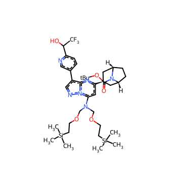 CC(C)(C)OC(=O)N1[C@@H]2CC[C@H]1C[C@H](c1cc(N(COCC[Si](C)(C)C)COCC[Si](C)(C)C)n3ncc(-c4ccc(C(O)C(F)(F)F)nc4)c3n1)C2